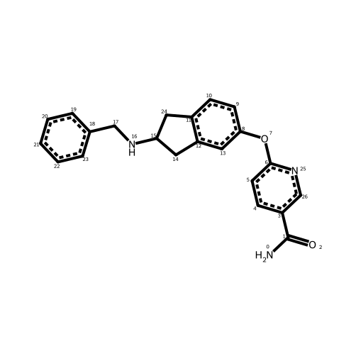 NC(=O)c1ccc(Oc2ccc3c(c2)CC(NCc2ccccc2)C3)nc1